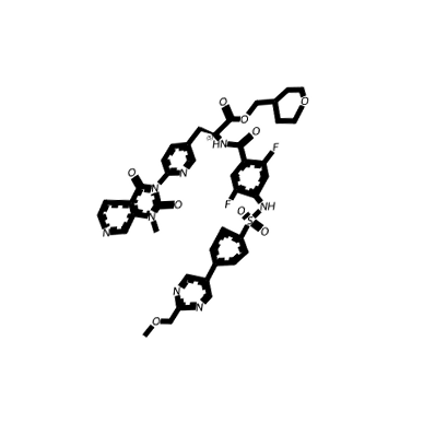 COCc1ncc(-c2ccc(S(=O)(=O)Nc3cc(F)c(C(=O)N[C@@H](Cc4ccc(-n5c(=O)c6ccncc6n(C)c5=O)nc4)C(=O)OCC4CCOCC4)cc3F)cc2)cn1